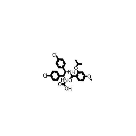 COc1ccc(C(=O)N[C@H](c2ccc(Cl)cc2)[C@H](NC(=O)O)c2ccc(Cl)cc2)c(OC(C)C)c1